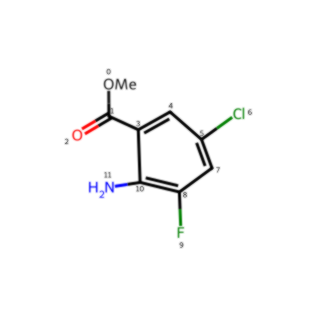 COC(=O)c1cc(Cl)cc(F)c1N